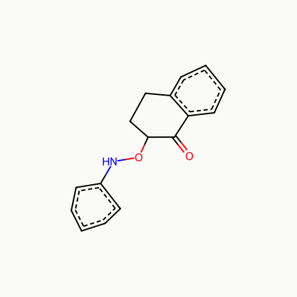 O=C1c2ccccc2CCC1ONc1ccccc1